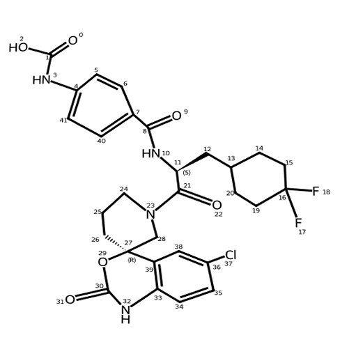 O=C(O)Nc1ccc(C(=O)N[C@@H](CC2CCC(F)(F)CC2)C(=O)N2CCC[C@@]3(C2)OC(=O)Nc2ccc(Cl)cc23)cc1